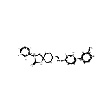 O=C1O[C@]2(CC[C@H](CNc3ccc(-c4cccc(F)c4)nn3)CC2)CN1c1cccnn1